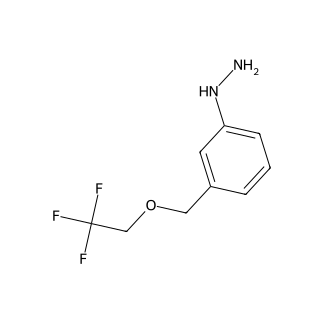 NNc1cccc(COCC(F)(F)F)c1